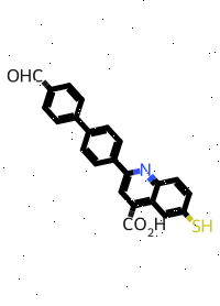 O=Cc1ccc(-c2ccc(-c3cc(C(=O)O)c4cc(S)ccc4n3)cc2)cc1